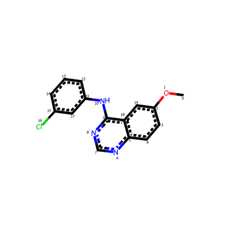 COc1ccc2ncnc(Nc3cccc(Cl)c3)c2c1